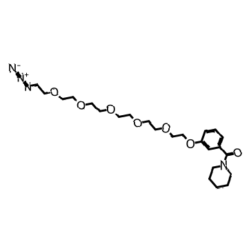 [N-]=[N+]=NCCOCCOCCOCCOCCOCCOc1cccc(C(=O)N2CCCCC2)c1